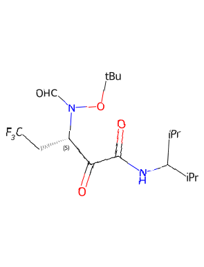 CC(C)C(NC(=O)C(=O)[C@H](CC(F)(F)F)N(C=O)OC(C)(C)C)C(C)C